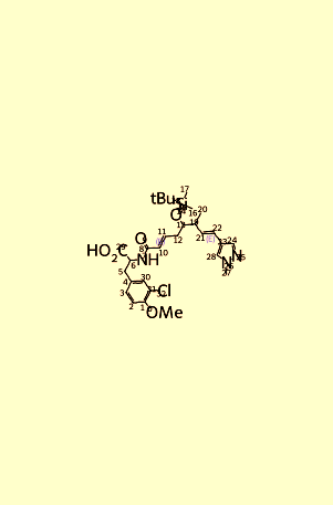 COc1ccc(CC(NC(=O)/C=C/CC(O[Si](C)(C)C(C)(C)C)C(C)/C=C/c2cnn(C)c2)C(=O)O)cc1Cl